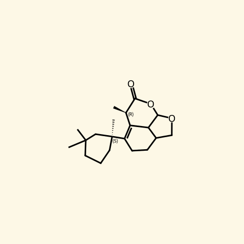 C[C@H]1C(=O)OC2OCC3CCC([C@@]4(C)CCCC(C)(C)C4)=C1C32